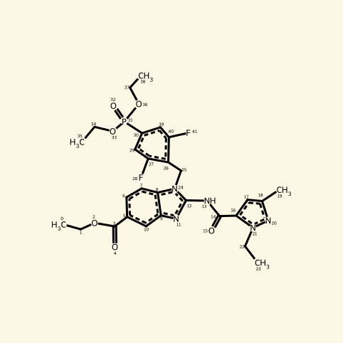 CCOC(=O)c1ccc2c(c1)nc(NC(=O)c1cc(C)nn1CC)n2Cc1c(F)cc(P(=O)(OCC)OCC)cc1F